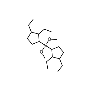 CCC1CCC([Si](OC)(OC)C2CCC(CC)C2CC)C1CC